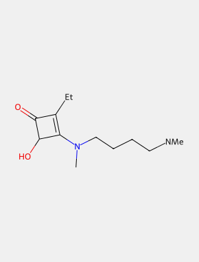 CCC1=C(N(C)CCCCNC)C(O)C1=O